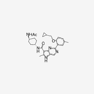 CC(=O)N[C@H]1CC[C@H](NC(=O)c2c(C)[nH]c3cnc(-c4cc(C)ccc4OCC4CC4)nc23)CC1